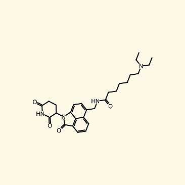 CCN(CC)CCCCCCC(=O)NCc1ccc2c3c(cccc13)C(=O)N2C1CCC(=O)NC1=O